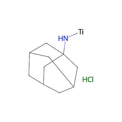 Cl.[Ti][NH]C12CC3CC(CC(C3)C1)C2